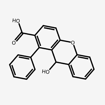 O=C(O)c1ccc2c(c1-c1ccccc1)C(O)c1ccccc1O2